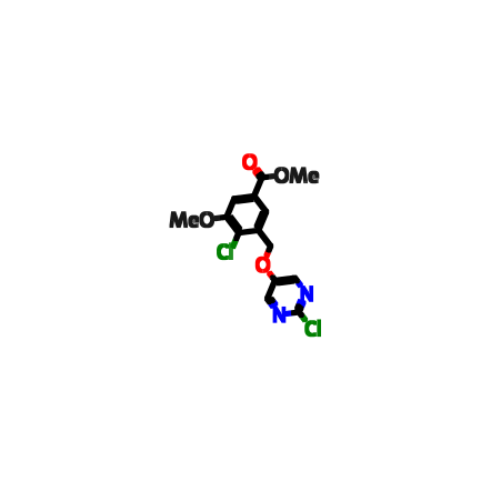 COC(=O)c1cc(COc2cnc(Cl)nc2)c(Cl)c(OC)c1